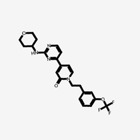 O=c1cc(-c2ccnc(NC3CCOCC3)n2)ccn1CCc1cccc(OC(F)(F)F)c1